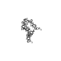 COc1ccc(CNC(=O)OCc2ccnc(C(=O)N[C@H]3CCC[C@@H](Nc4nc(-c5cn(S(=O)(=O)c6ccc(C)cc6)c6ncc(F)cc56)ncc4F)C3)c2)cc1